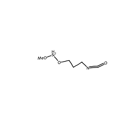 CO[SiH2]OCCCN=C=O